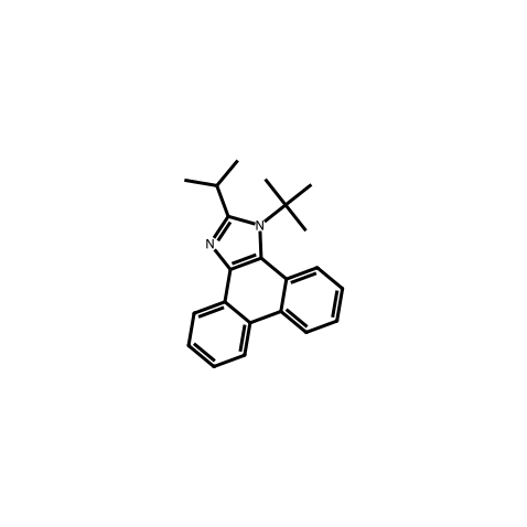 CC(C)c1nc2c3ccccc3c3ccccc3c2n1C(C)(C)C